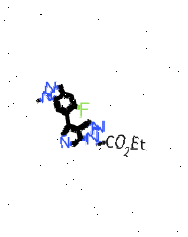 CCOC(=O)Cn1ncc2c(-c3cc4c(cnn4C)cc3F)cncc21